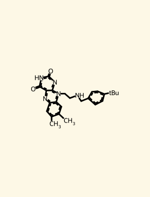 Cc1cc2nc3c(=O)[nH]c(=O)nc-3n(CCNCc3ccc(C(C)(C)C)cc3)c2cc1C